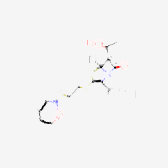 CC(O)[C@H]1C(=O)N2C(C(=O)O)=C(SCCSN3C=CC=CO3)S[C@H]12